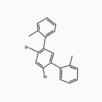 Cc1ccccc1-c1cc(-c2ccccc2C)c(Br)cc1Br